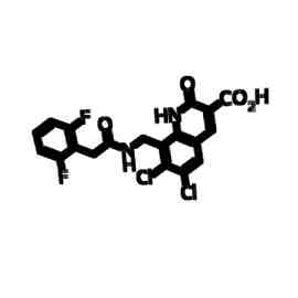 O=C(Cc1c(F)cccc1F)NCc1c(Cl)c(Cl)cc2cc(C(=O)O)c(=O)[nH]c12